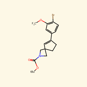 CC(C)(C)OC(=O)N1CC2(C=C(c3ccc(Br)c(OC(F)(F)F)c3)CC2)C1